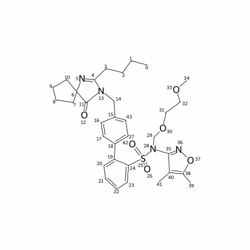 CCCCC1=NC2(CCCC2)C(=O)N1Cc1ccc(-c2ccccc2S(=O)(=O)N(COCCOC)c2noc(C)c2C)cc1